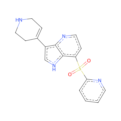 O=S(=O)(c1ccccn1)c1ccnc2c(C3=CCNCC3)c[nH]c12